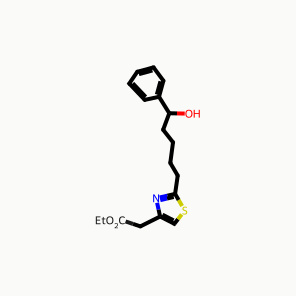 CCOC(=O)Cc1csc(CCCCC(O)c2ccccc2)n1